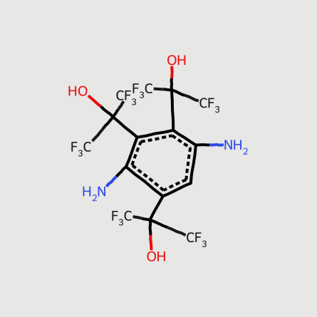 Nc1cc(C(O)(C(F)(F)F)C(F)(F)F)c(N)c(C(O)(C(F)(F)F)C(F)(F)F)c1C(O)(C(F)(F)F)C(F)(F)F